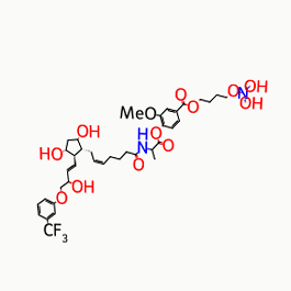 COc1cc(C(=O)OCCCCON(O)O)ccc1OC(=O)C(C)NC(=O)CCC/C=C\C[C@@H]1[C@@H](/C=C/[C@@H](O)COc2cccc(C(F)(F)F)c2)[C@H](O)C[C@@H]1O